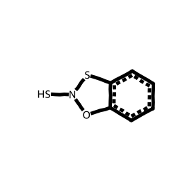 SN1Oc2ccccc2S1